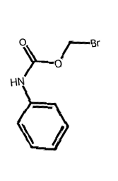 O=C(Nc1ccccc1)OCBr